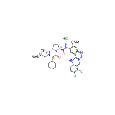 CN[C@@H](C)CN[C@H](C(=O)N1CCC[C@H]1C(=O)Nc1cc2c(Nc3ccc(F)c(Cl)c3F)ncnc2cc1OC)C1CCCCC1.Cl